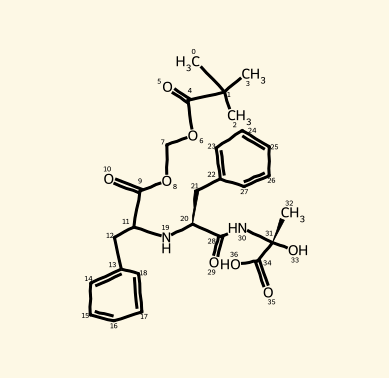 CC(C)(C)C(=O)OCOC(=O)C(Cc1ccccc1)N[C@@H](Cc1ccccc1)C(=O)N[C@](C)(O)C(=O)O